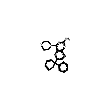 Nc1nc(N2CCOCC2)c2nc(C3(c4ccccc4)C=CC=CC3)cnc2n1